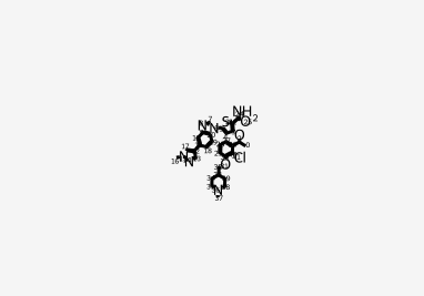 CC(Oc1cc(-n2cnc3cc(-c4cnn(C)c4)ccc32)sc1C(N)=O)c1cccc(OCC2CCN(C)CC2)c1Cl